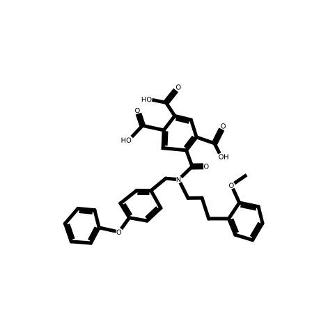 COc1ccccc1CCCN(Cc1ccc(Oc2ccccc2)cc1)C(=O)c1cc(C(=O)O)c(C(=O)O)cc1C(=O)O